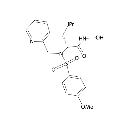 COc1ccc(S(=O)(=O)N(Cc2ccccn2)[C@H](CC(C)C)C(=O)NO)cc1